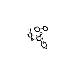 c1ccc(-c2ccccc2Oc2nc(Nc3cc[nH]n3)cc(N3CCOCC3)n2)cc1